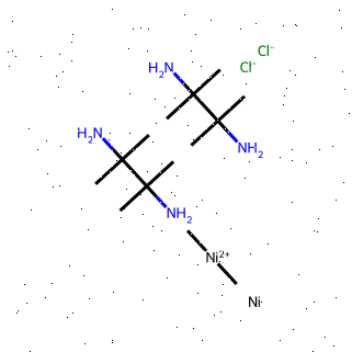 CC(C)(N)C(C)(C)N.CC(C)(N)C(C)(C)N.[CH3][Ni+2][CH3].[Cl-].[Cl-].[Ni]